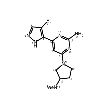 CCc1cn[nH]c1-c1cc(N2CCC(NC)C2)nc(N)n1